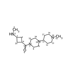 CNC1CC(C(=O)N2CCN(C3CCN(C)CC3)CC2)C1